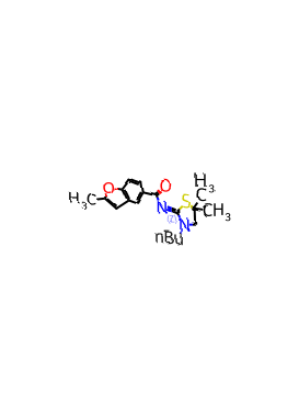 CCCCN1CC(C)(C)S/C1=N\C(=O)c1ccc2oc(C)cc2c1